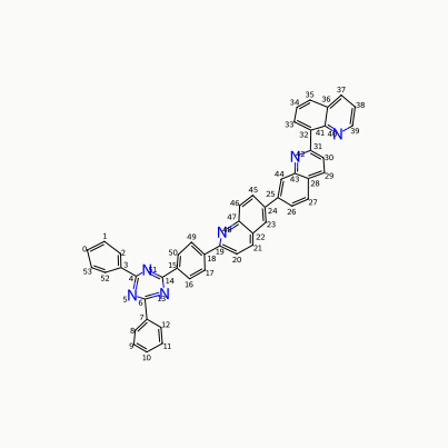 c1ccc(-c2nc(-c3ccccc3)nc(-c3ccc(-c4ccc5cc(-c6ccc7ccc(-c8cccc9cccnc89)nc7c6)ccc5n4)cc3)n2)cc1